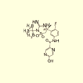 BC(B)(B)N1C(=N)N[C@](C)(c2cc(NC(=O)c3cnc(O)cn3)ccc2F)CS1(=O)=O